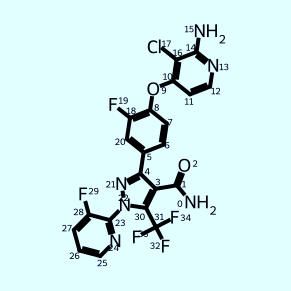 NC(=O)c1c(-c2ccc(Oc3ccnc(N)c3Cl)c(F)c2)nn(-c2ncccc2F)c1C(F)(F)F